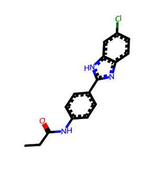 CCC(=O)Nc1ccc(-c2nc3ccc(Cl)cc3[nH]2)cc1